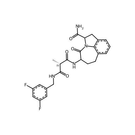 C[C@@H](C(=O)NCc1cc(F)cc(F)c1)C(=O)NC1CCc2cccc3c2N(C1=O)C(C(N)=O)C3